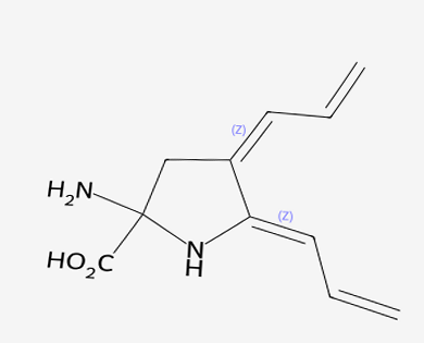 C=C/C=C1/CC(N)(C(=O)O)N/C1=C\C=C